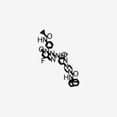 COc1nc(N2CCN(C(=O)NC34CC5CC(CC(C5)C3)C4)CC2)ccc1Nc1ncc2c(F)cc(=O)n(-c3cccc(NC(=O)C4CC4)c3)c2n1